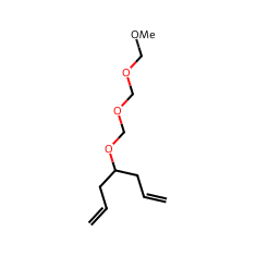 C=CCC(CC=C)OCOCOCOC